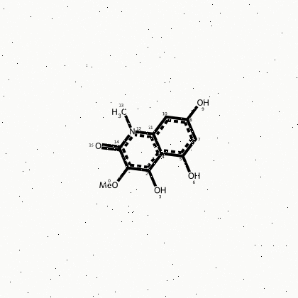 COc1c(O)c2c(O)cc(O)cc2n(C)c1=O